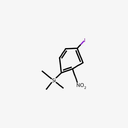 C[Si](C)(C)c1ccc(I)cc1[N+](=O)[O-]